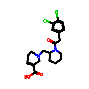 O=C(O)C1=CCCN(CC2CCCCN2C(=O)Cc2ccc(Cl)c(Cl)c2)C1